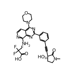 CN1CC[C@@](O)(C#Cc2cccc(-c3nc(N4CCOCC4)c4ccnc(N)c4n3)c2)C1=O.O=C(O)C(F)(F)F